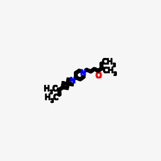 CCC(C)C(=O)CCCN1CCC(N2CC3(CC(C(C)CC)C3)C2)CC1